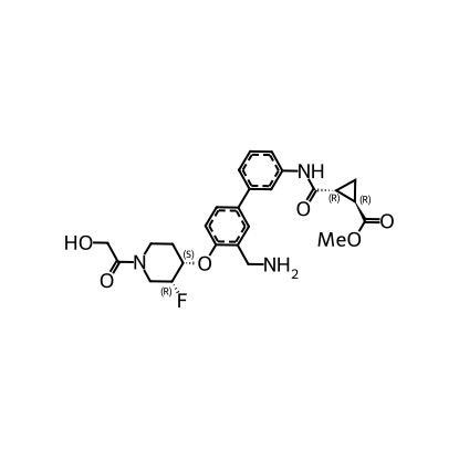 COC(=O)[C@@H]1C[C@H]1C(=O)Nc1cccc(-c2ccc(O[C@H]3CCN(C(=O)CO)C[C@H]3F)c(CN)c2)c1